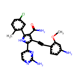 COc1cc(N)ccc1C#Cc1c(-c2ccnc(N)n2)[nH]c(-c2cc(Cl)ccc2C)c1C(N)=O